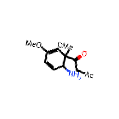 COC1=CC(OC)(C(=O)CC(C)=O)C(N)C=C1